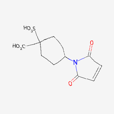 O=C1C=CC(=O)N1C1CCC(C(=O)O)(S(=O)(=O)O)CC1